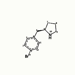 Brc1ccc(C[C@H]2CCCN2)cc1